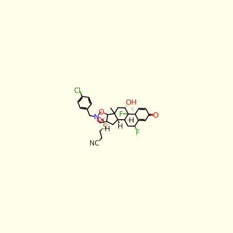 CC12C[C@H](O)[C@@]3(F)[C@@H](C[C@H](F)C4=CC(=O)C=C[C@@]43C)[C@@H]1C[C@H]1CN(Cc3ccc(Cl)cc3)O[C@]12C(=O)SCCC#N